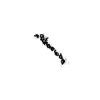 CCN(C)S(=O)(=O)Nc1ccc(F)c(Oc2ccc3ncn(-c4cnc(N5CCN(C(=O)CN6CCC(c7ccc(N[C@H]8CCC(=O)NC8=O)cc7F)CC6)CC5)nc4)c(=O)c3c2COC)c1C#N